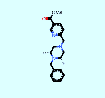 COC(=O)c1ccc(CN2C[C@@H](C)N(Cc3ccccc3)[C@@H](C)C2)nc1